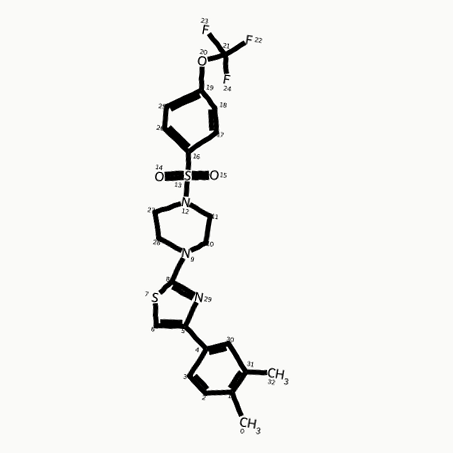 Cc1ccc(-c2csc(N3CCN(S(=O)(=O)c4ccc(OC(F)(F)F)cc4)CC3)n2)cc1C